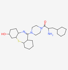 NC(CC1CCCCC1)C(=O)N1CCN(C2=NC3CCC(O)CC3SC3CCCCC23)CC1